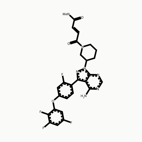 CNC(=O)/C=C/C(=O)N1CCCC(n2nc(-c3ccc(Oc4cc(F)cc(F)c4F)cc3F)c3c(N)ncnc32)C1